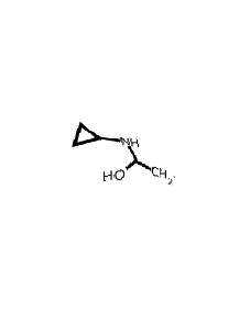 [CH2]C(O)NC1CC1